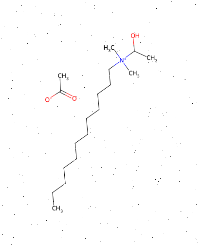 CC(=O)[O-].CCCCCCCCCCCC[N+](C)(C)C(C)O